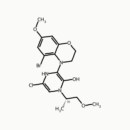 COC[C@H](C)N1C=C(Cl)NC(N2CCOc3cc(OC)cc(Br)c32)=C1O